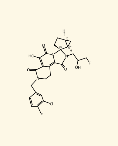 O=C1c2c(c3n(c(=O)c2O)[C@@]2(CC[C@H]4C[C@H]42)N(CC(O)CF)C3=O)CCN1Cc1ccc(F)c(Cl)c1